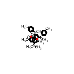 Cc1ccc(N(C)C(=CC2(N(C)c3ccc(C)cc3)OC(=O)c3cc(N(C)C)ccc32)N(C)c2ccc(C)cc2)cc1